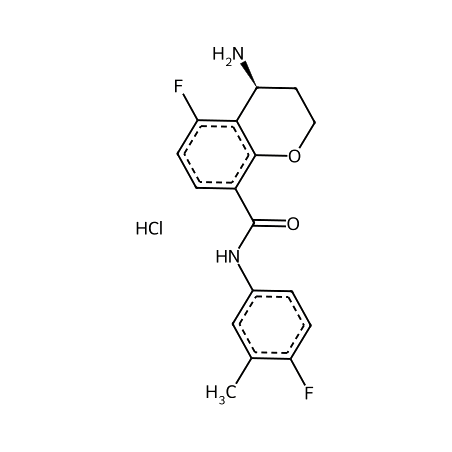 Cc1cc(NC(=O)c2ccc(F)c3c2OCC[C@@H]3N)ccc1F.Cl